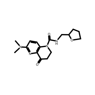 CN(C)c1ccc2c(n1)C(=O)CCN2C(=O)NCC1CCCO1